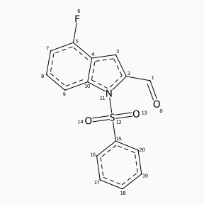 O=Cc1cc2c(F)cccc2n1S(=O)(=O)c1ccccc1